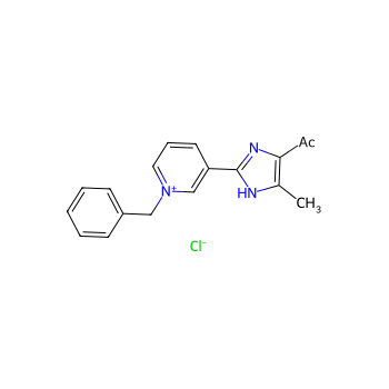 CC(=O)c1nc(-c2ccc[n+](Cc3ccccc3)c2)[nH]c1C.[Cl-]